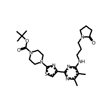 Cc1nc(-c2csc(N3CCN(C(=O)OC(C)(C)C)CC3)n2)nc(NCCCN2CCCC2=O)c1C